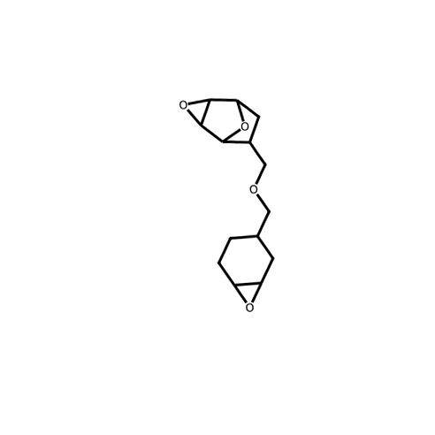 C1CC2OC2CC1COCC1CC2OC1C1OC21